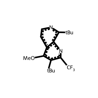 COc1c(C(C)(C)C)c(C(F)(F)F)nc2c(C(C)(C)C)nccc12